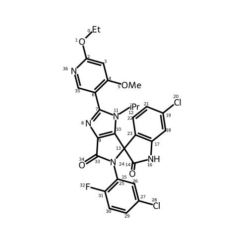 CCOc1cc(OC)c(-c2nc3c(n2C(C)C)C2(C(=O)Nc4cc(Cl)ccc42)N(c2cc(Cl)ccc2F)C3=O)cn1